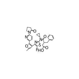 Cc1cc(-c2nc(N(C(=O)C(CC(=O)O)Cc3ccccc3)C3CC3)sc2F)c(-c2ccc(N3CCCC3=O)nc2)o1